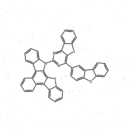 c1ccc2c(c1)oc1ccc(-c3nc(-n4c5ccccc5c5c6ccccc6c6c7ccccc7sc6c54)nc4c3sc3ccccc34)cc12